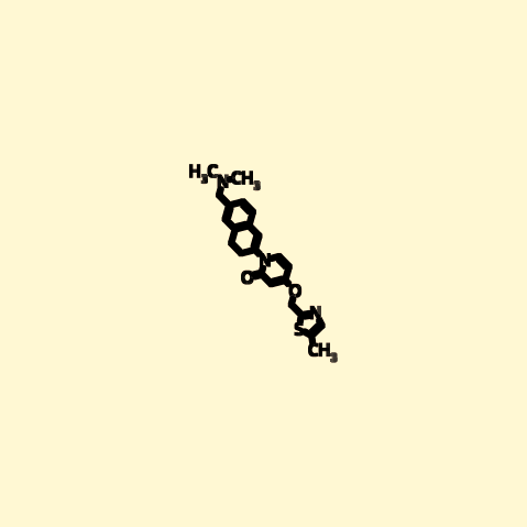 Cc1cnc(COc2ccn(C3=Cc4ccc(CN(C)C)cc4CC3)c(=O)c2)s1